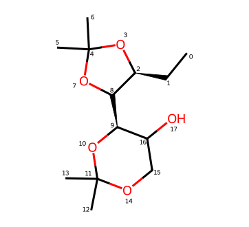 CC[C@@H]1OC(C)(C)OC1[C@@H]1OC(C)(C)OCC1O